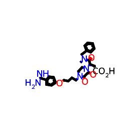 CN(Cc1ccccc1)C(=O)C(CC(=O)O)N1CCN(CCCCOc2ccc(C(=N)N)cc2)C(=O)C1=O